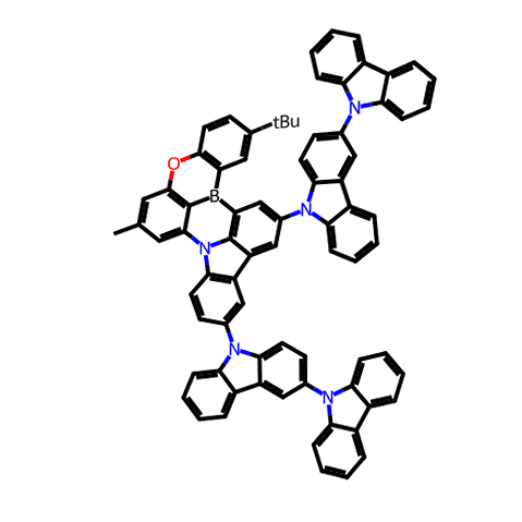 Cc1cc2c3c(c1)-n1c4ccc(-n5c6ccccc6c6cc(-n7c8ccccc8c8ccccc87)ccc65)cc4c4cc(-n5c6ccccc6c6cc(-n7c8ccccc8c8ccccc87)ccc65)cc(c41)B3c1cc(C(C)(C)C)ccc1O2